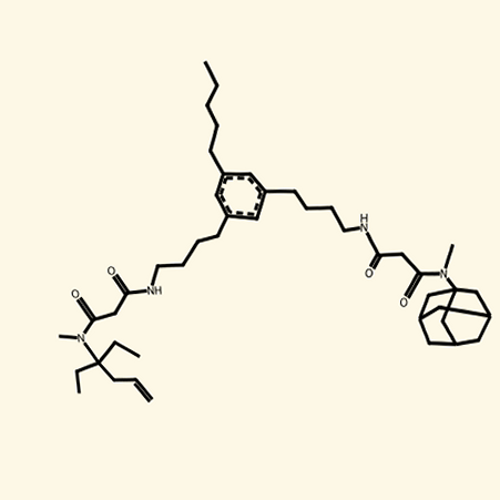 C=CCC(CC)(CC)N(C)C(=O)CC(=O)NCCCCc1cc(CCCCC)cc(CCCCNC(=O)CC(=O)N(C)C23CC4CC(CC(C4)C2)C3)c1